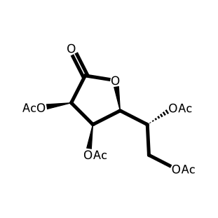 CC(=O)OC[C@@H](OC(C)=O)[C@@H]1OC(=O)[C@H](OC(C)=O)[C@@H]1OC(C)=O